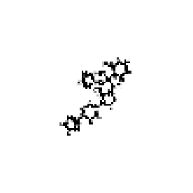 C[C@@H](N1CCN(c2ccc(-n3nccn3)cc2)C1=O)[C@](O)(Cn1cncn1)c1ccccc1F